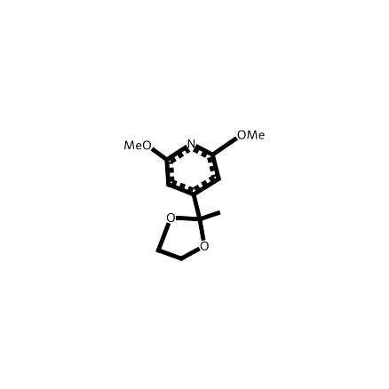 COc1cc(C2(C)OCCO2)cc(OC)n1